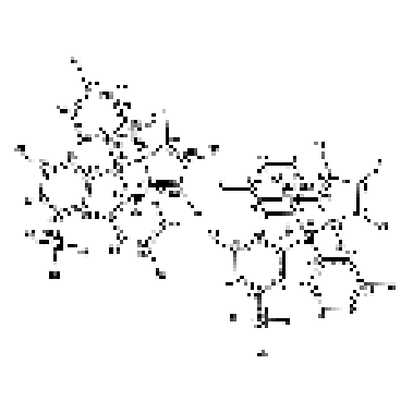 CC1=C(C)C(C)([Si](c2cccc(C)c2)(c2cccc(C)c2)c2cc(C)cc([Si](C)(C)C)c2)[C]([Ti]([CH3])([CH3])[CH3])=C1C.CC1=C(C)[C]([Si](c2ccc(C)cc2)(c2ccc(C)cc2)c2cc(C)cc([Si](C)(C)C)c2)([Ti]([CH3])([CH3])[CH3])C(C)=C1C